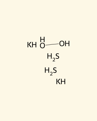 OO.S.S.[KH].[KH]